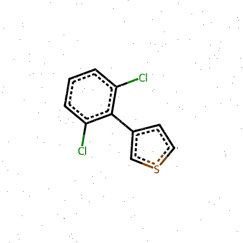 Clc1cccc(Cl)c1-c1c[c]sc1